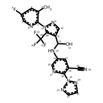 Cc1cc(F)cnc1-n1ncc(C(O)Nc2cnc(-n3nccn3)c(C#N)c2)c1C(F)(F)F